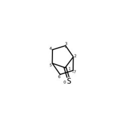 S=C1C2[CH]CC1C[CH]2